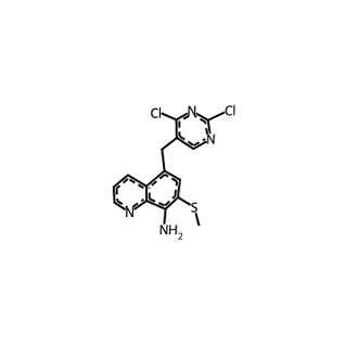 CSc1cc(Cc2cnc(Cl)nc2Cl)c2cccnc2c1N